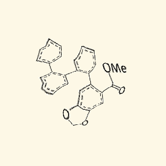 COC(=O)c1cc2c(cc1-c1ccccc1-c1ccccc1-c1ccccc1)OCO2